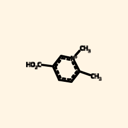 Cc1ccc(C(=O)O)c[n+]1C